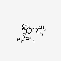 COc1cc(CC(C)C)ccc1OC(C)C